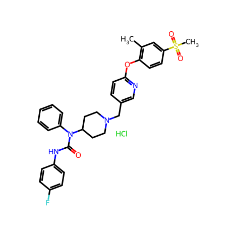 Cc1cc(S(C)(=O)=O)ccc1Oc1ccc(CN2CCC(N(C(=O)Nc3ccc(F)cc3)c3ccccc3)CC2)cn1.Cl